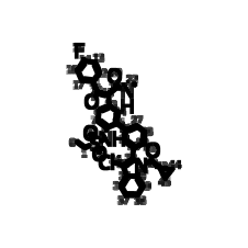 CCS(=O)(=O)Nc1cc2oc(-c3ccc(F)cc3)c(C(=O)NC)c2cc1-c1ccc2c(c1)-c1c(Cl)c3ccccc3n1C(C1CC1)O2